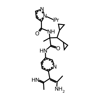 CC(=N)/C(=C(/C)N)c1ccc(NC(=O)C(C)(NC(=O)c2ccnn2C(C)C)C(C2CC2)C2CC2)cn1